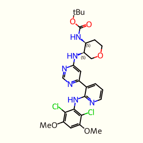 COc1cc(OC)c(Cl)c(Nc2ncccc2-c2cc(N[C@@H]3COCC[C@@H]3NC(=O)OC(C)(C)C)ncn2)c1Cl